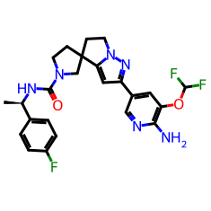 C[C@@H](NC(=O)N1CCC2(CCn3nc(-c4cnc(N)c(OC(F)F)c4)cc32)C1)c1ccc(F)cc1